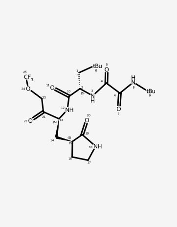 CC(C)(C)C[C@H](NC(=O)C(=O)NC(C)(C)C)C(=O)N[C@@H](C[C@@H]1CCNC1=O)C(=O)COC(F)(F)F